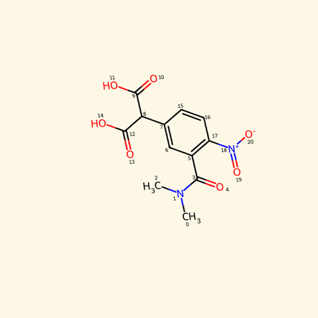 CN(C)C(=O)c1cc(C(C(=O)O)C(=O)O)ccc1[N+](=O)[O-]